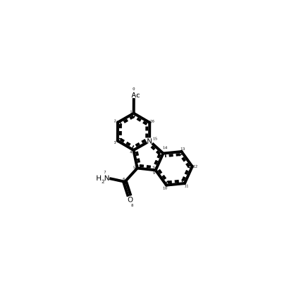 CC(=O)c1ccc2c(C(N)=O)c3ccccc3n2c1